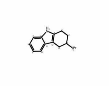 CC(C)C1CCc2[nH]c3ccccc3c2C1